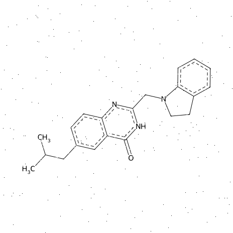 CC(C)Cc1ccc2nc(CN3CCc4ccccc43)[nH]c(=O)c2c1